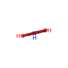 OCCCCCCCCCCCCCCCCCCCCCCCCNCCCCCCCCCCCCCCCCCCCCCCO